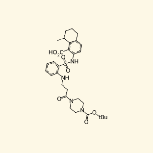 CC1CCCc2ccc(NS(=O)(=O)c3ccccc3NCCC(=O)N3CCN(C(=O)OC(C)(C)C)CC3)c(C(=O)O)c21